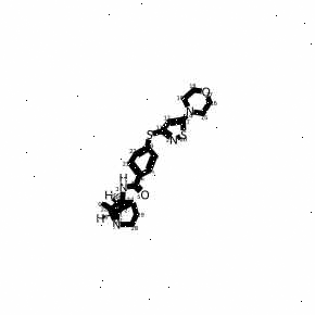 C[C@H]1[C@H](NC(=O)c2ccc(Sc3cc(N4CCOCC4)sn3)cc2)C2CCN1CC2